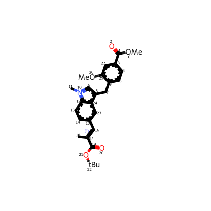 COC(=O)c1ccc(Cc2cn(C)c3ccc(/C=C(\C)C(=O)OC(C)(C)C)cc23)c(OC)c1